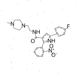 CN1CCN(CCNC(=O)c2cc(-c3ccc(F)cc3)[nH]c2-c2ccccc2[N+](=O)[O-])CC1